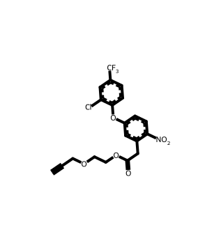 C#CCOCCOC(=O)Cc1cc(Oc2ccc(C(F)(F)F)cc2Cl)ccc1[N+](=O)[O-]